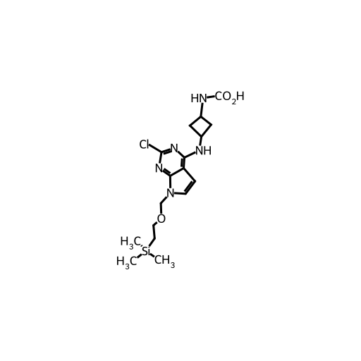 C[Si](C)(C)CCOCn1ccc2c(NC3CC(NC(=O)O)C3)nc(Cl)nc21